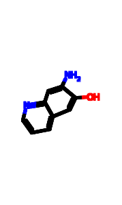 Nc1cc2ncccc2cc1O